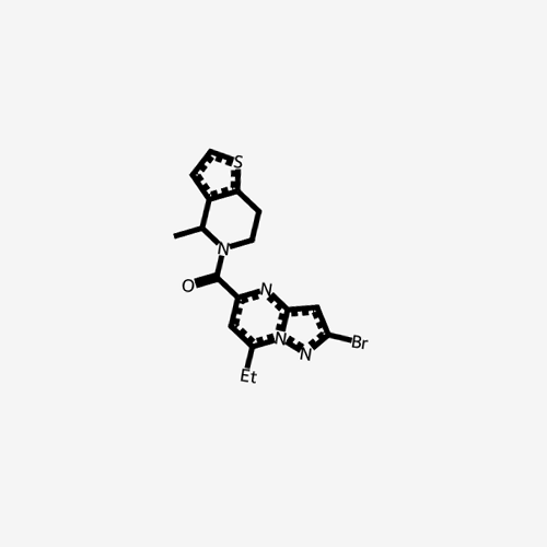 CCc1cc(C(=O)N2CCc3sccc3C2C)nc2cc(Br)nn12